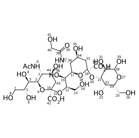 CC(=O)N[C@H]1[C@H]([C@H](O)[C@H](O)CO)O[C@@](O[C@H](CO)[C@@H](O)[C@@H]2O[C@@](O[C@H]3[C@@H](O)[C@@H](CO)OC(O)[C@@H]3O)(C(=O)O)C[C@H](O)[C@H]2NC(=O)CO)(C(=O)O)C[C@@H]1O